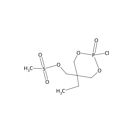 CCC1(COS(C)(=O)=O)COP(=O)(Cl)OC1